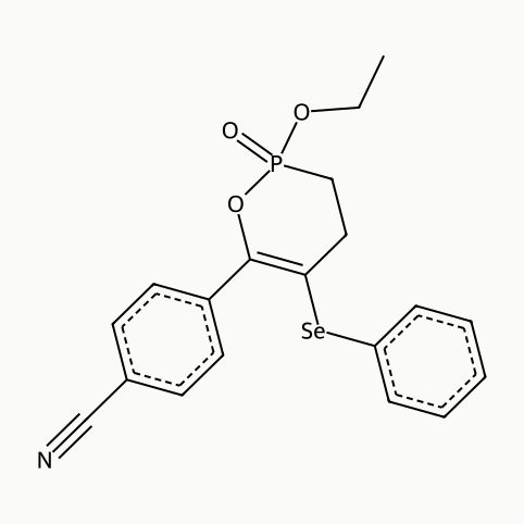 CCOP1(=O)CCC([Se]c2ccccc2)=C(c2ccc(C#N)cc2)O1